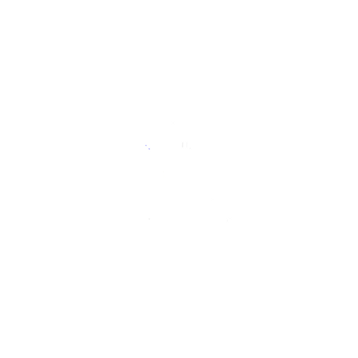 CC(C)CC(CSSCN(CC(C)C)C(C)C)C(C)C